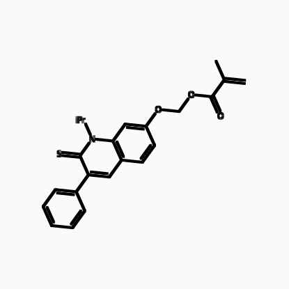 C=C(C)C(=O)OCOc1ccc2cc(-c3ccccc3)c(=S)n(C(C)C)c2c1